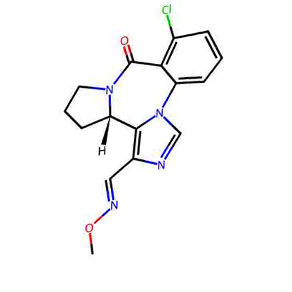 CON=Cc1ncn2c1[C@@H]1CCCN1C(=O)c1c(Cl)cccc1-2